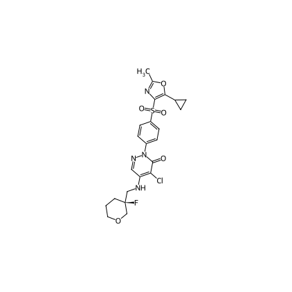 Cc1nc(S(=O)(=O)c2ccc(-n3ncc(NC[C@@]4(F)CCCOC4)c(Cl)c3=O)cc2)c(C2CC2)o1